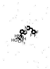 C[C@H](O)[C@@H](CO)NC(=O)c1cccc2c1CCN2c1cc(Cc2cc(F)c(F)c(F)c2)ccn1